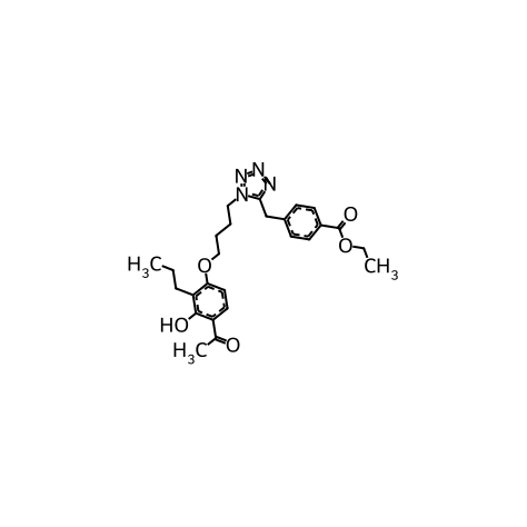 CCCc1c(OCCCCn2nnnc2Cc2ccc(C(=O)OCC)cc2)ccc(C(C)=O)c1O